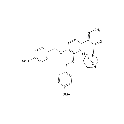 C/N=C(\C(=O)N1CCN2CCC1CC2)c1ccc(OCc2ccc(OC)cc2)c(OCc2ccc(OC)cc2)c1Cl